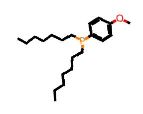 CCCCCCCP(CCCCCCC)c1ccc(OC)cc1